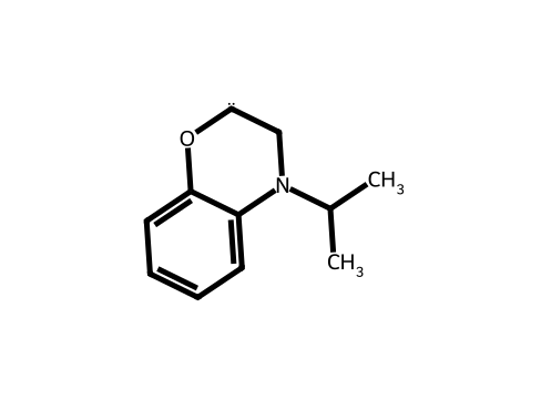 CC(C)N1C[C]Oc2ccccc21